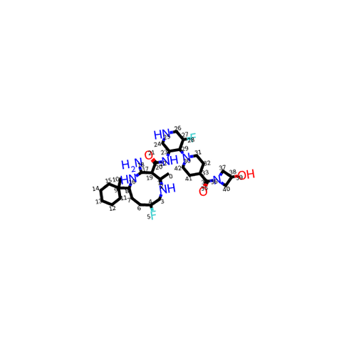 CC1NCC(F)CCC(C2(C)CCCCC2)NC(N)C1C(=O)NC1CNCC(F)C1N1CCC(C(=O)N2CC(O)C2)CC1